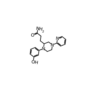 NC(=O)CCC1CN(c2ccccn2)CCN1c1cccc(O)c1